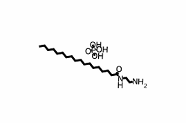 CCCCCCCCCCCCCCCCCC(=O)NCCN.O=P(O)(O)O